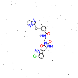 Cc1ccc(C(=O)NCCN2C(=O)NC(Cc3c[nH]c4c(Cl)cccc34)C2=O)cc1[C@@H]1CC1c1cnc2cccnn12